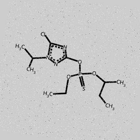 CCOP(=S)(Oc1nc(Cl)n(C(C)C)n1)OC(C)CC